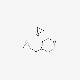 C1CN(CC2CO2)CCO1.C1CO1